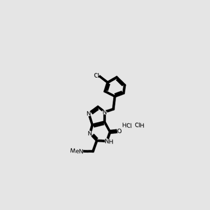 CNCc1nc2ncn(Cc3cccc(Cl)c3)c2c(=O)[nH]1.Cl.Cl